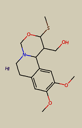 COc1cc2c(cc1OC)C1C(CO)C(SC)OCN1CC2.I